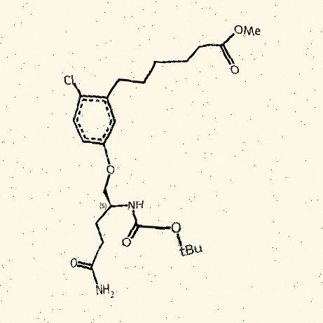 COC(=O)CCCCCc1cc(OC[C@H](CCC(N)=O)NC(=O)OC(C)(C)C)ccc1Cl